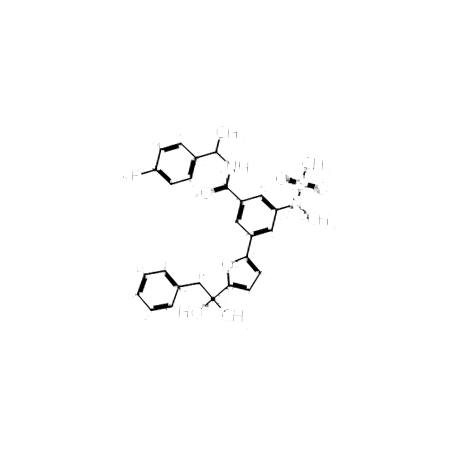 CC(NC(=O)c1cc(-c2ccc(C(C)(O)Cc3ccccc3)o2)cc(N(C)S(C)(=O)=O)c1)c1ccc(F)cc1